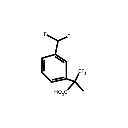 CC(C(=O)O)(c1cccc(C(F)F)c1)C(F)(F)F